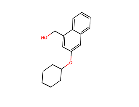 OCc1cc(OC2CCCCC2)cc2ccccc12